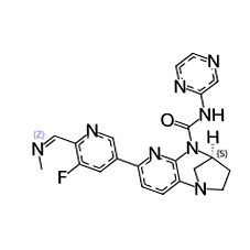 C/N=C\c1ncc(-c2ccc3c(n2)N(C(=O)Nc2cnccn2)[C@H]2CCN3C2)cc1F